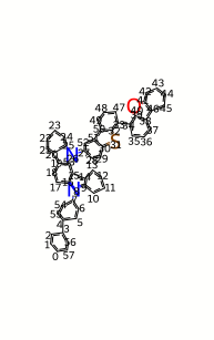 c1ccc(-c2ccc(-n3c4ccccc4c4c3ccc3c5ccccc5n(-c5ccc6sc7c(-c8cccc9c8oc8ccccc89)cccc7c6c5)c34)cc2)cc1